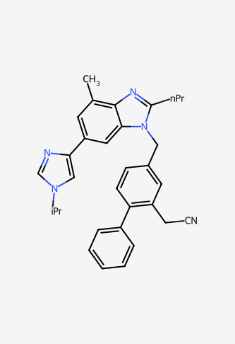 CCCc1nc2c(C)cc(-c3cn(C(C)C)cn3)cc2n1Cc1ccc(-c2ccccc2)c(CC#N)c1